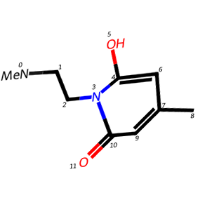 CNCCn1c(O)cc(C)cc1=O